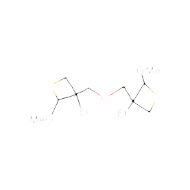 CCC1(COCC2(CC)CSC2OC)CSC1OC